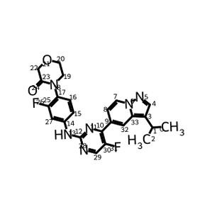 CC(C)c1cnn2ccc(-c3nc(Nc4ccc(N5CCOCC5=O)c(F)c4)ncc3F)cc12